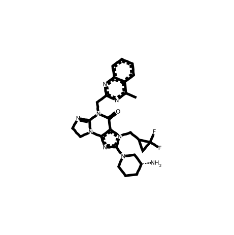 Cc1nc(CN2C(=O)c3c(nc(N4CCC[C@@H](N)C4)n3CC3CC3(F)F)N3CCN=C23)nc2ccccc12